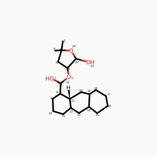 CC1(C)CC(OC(O)C2CCCC3CC4CCCCC4C[C@H]32)C(O)O1